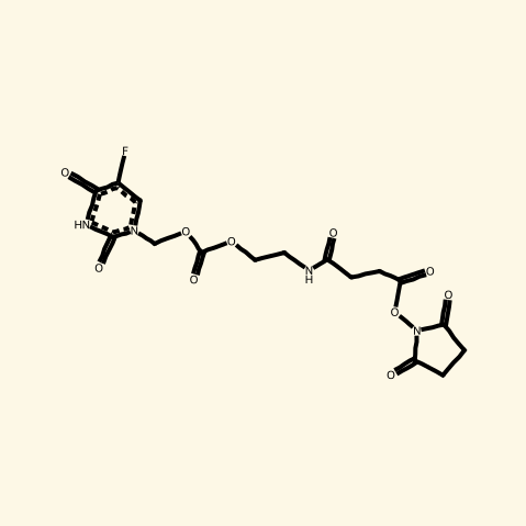 O=C(CCC(=O)ON1C(=O)CCC1=O)NCCOC(=O)OCn1cc(F)c(=O)[nH]c1=O